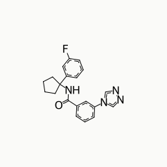 O=C(NC1(c2cccc(F)c2)CCCC1)c1cccc(-n2cnnc2)c1